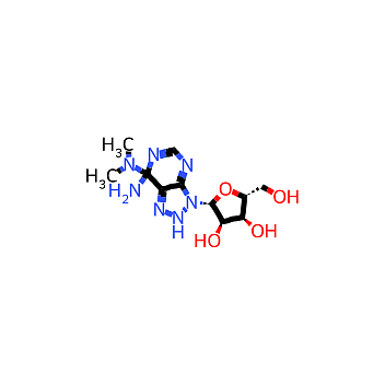 CN(C)C1(N)N=CN=C2C1=NNN2[C@@H]1O[C@H](CO)[C@@H](O)[C@H]1O